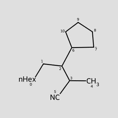 CCCCCCCC(C(C)C#N)C1[CH]CCC1